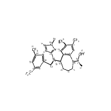 CCc1cc2c(cc1C(F)(F)F)N([C@H](C)O)CCCC2N(Cc1cc(C(F)(F)F)cc(C(F)(F)F)c1)c1nnn(C)n1